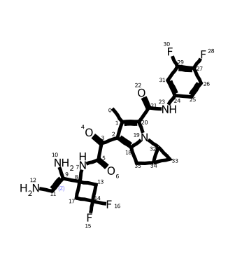 Cc1c(C(=O)C(=O)NC2(/C(N)=C/N)CC(F)(F)C2)c2n(c1C(=O)Nc1ccc(F)c(F)c1)C1CC1C2